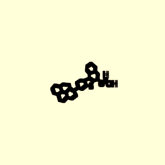 OBOc1cc2ccccc2c2c1sc1cc(-c3ccc4ccc5cccc6ccc3c4c56)ccc12